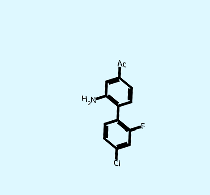 CC(=O)c1ccc(-c2ccc(Cl)cc2F)c(N)c1